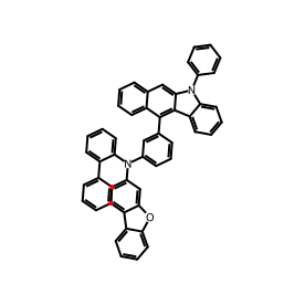 c1ccc(-c2ccccc2N(c2cccc(-c3c4ccccc4cc4c3c3ccccc3n4-c3ccccc3)c2)c2ccc3c(c2)oc2ccccc23)cc1